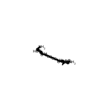 CCCn1/c(=N/C(=O)c2cccc(C(N)=O)c2)[nH]c2ccc(/C=C/C(=O)NCCCOCCOCCOCCOCCOCCCNC(=O)c3ccc(/N=N/c4cc(CCN)ccc4O)cc3)cc21